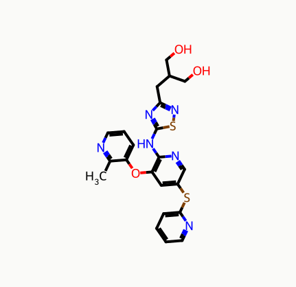 Cc1ncccc1Oc1cc(Sc2ccccn2)cnc1Nc1nc(CC(CO)CO)ns1